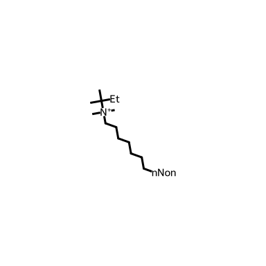 CCCCCCCCCCCCCCCC[N+](C)(C)C(C)(C)CC